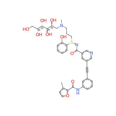 Cc1ccoc1C(=O)Nc1cccc(C#Cc2cncc(C(=O)N=S(CCCN(C)C[C@H](O)[C@@H](O)[C@@H](O)[C@H](O)CO)c3ccccc3O)c2)c1